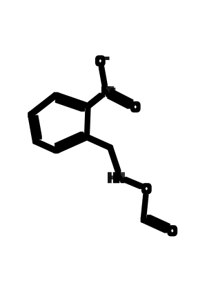 O=CONCc1ccccc1[N+](=O)[O-]